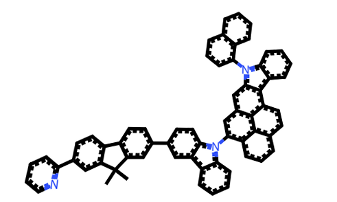 CC1(C)c2cc(-c3ccc4c(c3)c3ccccc3n4-c3cc4cc5c(c6ccc7cccc3c7c46)c3ccccc3n5-c3cccc4ccccc34)ccc2-c2ccc(-c3ccccn3)cc21